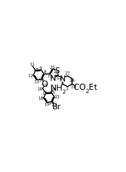 CCOC(=O)C1CCN(c2nc(-c3cc(C)ccc3OCc3ccc(Br)cc3N)cs2)CC1